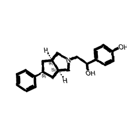 Oc1ccc(C(O)CN2C[C@H]3C[C@@H](c4ccccc4)C[C@H]3C2)cc1